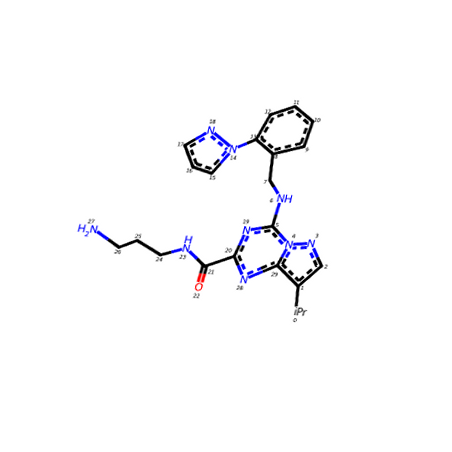 CC(C)c1cnn2c(NCc3ccccc3-n3cccn3)nc(C(=O)NCCCN)nc12